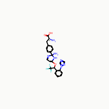 N[C@@H](Cc1ccc(C2(N)N=CC=C(OC(c3ccccc3-n3cncn3)C(F)(F)F)N2)cc1)C(=O)O